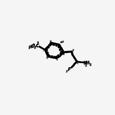 NC(F)Cc1ccc(C(=O)O)cc1